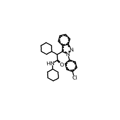 O=C(NC1CCCCC1)C(c1c2ccccc2nn1-c1ccc(Cl)cc1)C1CCCCC1